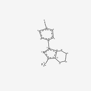 FC(F)(F)c1nn(-c2ccc(I)cc2)c2c1CCCC2